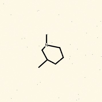 [CH2]N1CCCC(C)C1